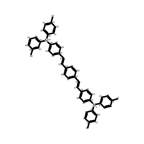 Cc1ccc(N(c2ccc(C)cc2)c2ccc(C=Cc3ccc(C=Cc4ccc(N(c5ccc(C)cc5)c5cccc(C)c5)cc4)cc3)cc2)cc1